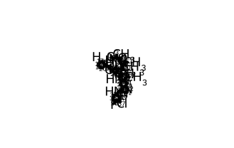 CNC(C)C(=O)NC(C(=O)N1C[C@H](OCc2ccccc2)C[C@H]1C(=O)Nc1cc2c(Nc3ccc(F)c(Cl)c3F)ncnc2cc1OC)C(C)(C)C.Cl